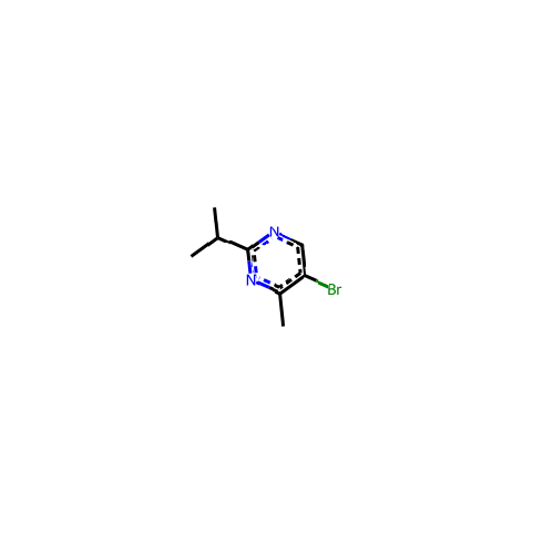 Cc1nc(C(C)C)ncc1Br